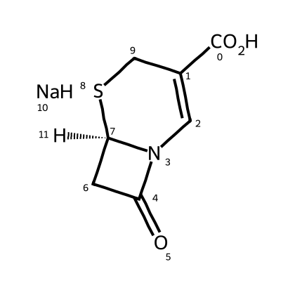 O=C(O)C1=CN2C(=O)C[C@H]2SC1.[NaH]